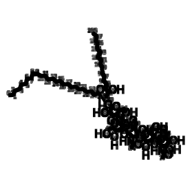 CCCCCCCC/C=C\CCCCCCCCCCCCCCCC(=O)N[C@@H](CO[C@@H]1OC(CO)[C@@H](O[C@@H]2OC(CO)[C@H](O)[C@H](O[C@@H]3OC(CO)[C@@H](O)[C@H](O[C@@H]4OC(CO)[C@H](O)[C@H](O[C@@H]5OC(CO)[C@@H](O)[C@H](O)C5NC(C)=O)C4O)C3NC(C)=O)C2O)[C@H](O)C1O)[C@H](O)/C=C/CCCCCCCCCCCCC